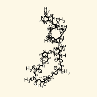 C=C[C@@H]1[C@@H]2O[P@](=O)(S)OC[C@H]3O[C@@H](n4cnc5c(NC(=O)OCCN(C)C(=O)OCCSSC(C)(C)CCC(=O)N(C)CCN(C)C(=O)CCOCCN6C(=O)C=CC6=O)ncnc54)C[C@@H]3O[P@](=O)(S)OC[C@H]2O[C@H]1n1cnc2c(N)ncnc21